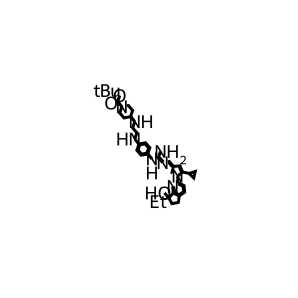 CC[C@@]1(O)CCc2ccc(N3C/C(=C\N=C(/N)Nc4ccc(NCCNC5CCN(C(=O)OC(C)(C)C)CC5)cc4)C=C3C3CC3)nc21